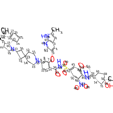 Cc1cc2cc(Oc3cc(N4CCC5(CC4)CC(N4CCC[C@@H]4c4ccccc4C(C)C)C5)ccc3C(=O)NS(=O)(=O)c3cc4c(c([N+](=O)[O-])c3)N[C@@H]([C@H]3CC[C@](C)(O)CC3)CO4)cnc2[nH]1